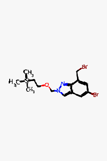 C[Si](C)(C)CCOCn1cc2cc(Br)cc(CBr)c2n1